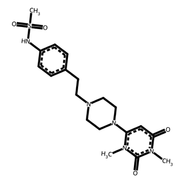 Cn1c(N2CCN(CCc3ccc(NS(C)(=O)=O)cc3)CC2)cc(=O)n(C)c1=O